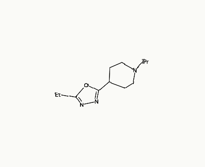 CCc1nnc(C2CCN(C(C)C)CC2)o1